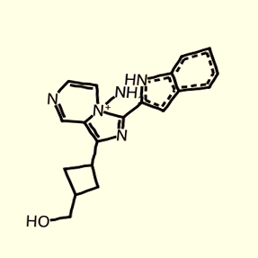 N[N+]12C=CN=CC1=C(C1CC(CO)C1)N=C2c1cc2ccccc2[nH]1